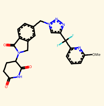 COc1cccc(C(F)(F)c2cn(Cc3ccc4c(c3)CN(C3CCC(=O)NC3=O)C4=O)nn2)n1